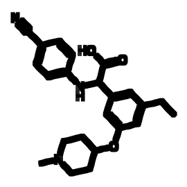 CCc1cc(OC2CCN(C)CC2)cc(C(Nc2ccc(C#N)cc2)C(=O)O)c1